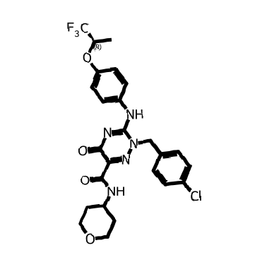 C[C@@H](Oc1ccc(Nc2nc(=O)c(C(=O)NC3CCOCC3)nn2Cc2ccc(Cl)cc2)cc1)C(F)(F)F